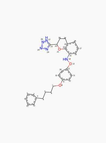 c1ccc(CCCCOc2ccc(ONc3cccc4c3OC(c3nnn[nH]3)CC4)cc2)cc1